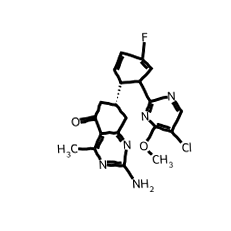 COc1nc(C2C=C(F)C=CC2[C@H]2CC(=O)c3c(C)nc(N)nc3C2)ncc1Cl